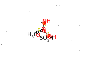 Cc1ccc(Sc2ccc(OCCCSOOO)c(OCCCSOOO)c2)cc1OCCCS(=O)(=O)O